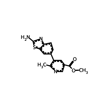 COC(=O)c1cnc(C)c(-c2ccc3nc(N)sc3c2)c1